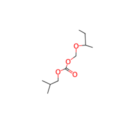 CCC(C)OCOC(=O)OCC(C)C